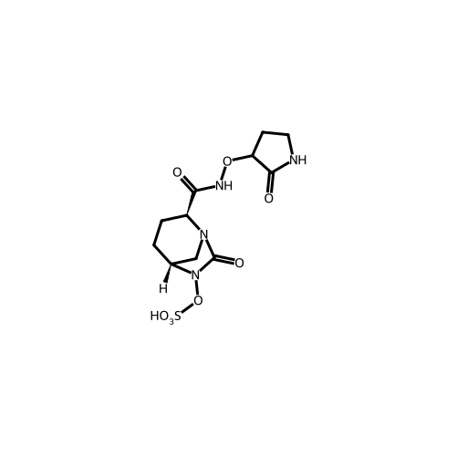 O=C1NCCC1ONC(=O)[C@@H]1CC[C@@H]2CN1C(=O)N2OS(=O)(=O)O